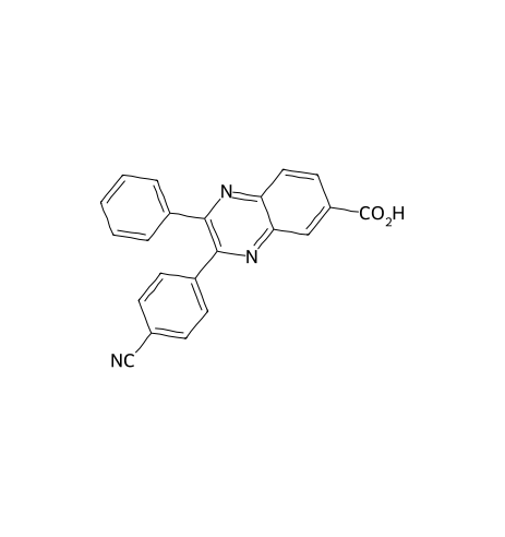 N#Cc1ccc(-c2nc3cc(C(=O)O)ccc3nc2-c2ccccc2)cc1